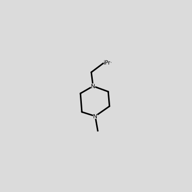 C[C](C)CN1CCN(C)CC1